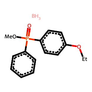 B.CCOc1ccc(P(=O)(OC)c2ccccc2)cc1